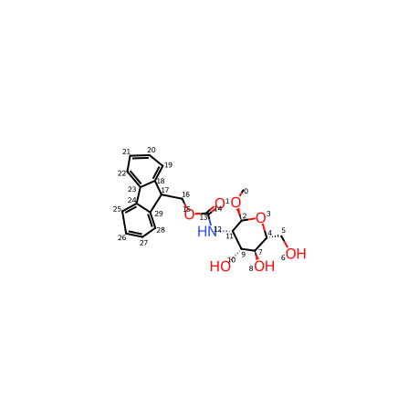 CO[C@H]1O[C@H](CO)[C@@H](O)[C@H](O)[C@@H]1NC(=O)OCC1c2ccccc2-c2ccccc21